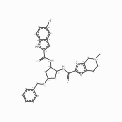 CN1CCc2nc(C(=O)NC3CC(OCc4ccccc4)CC3NC(=O)c3cc4cc(Cl)ccc4[nH]3)sc2C1